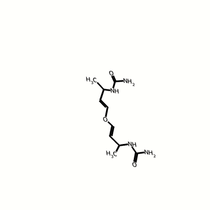 CC(/C=C/O/C=C/C(C)NC(N)=O)NC(N)=O